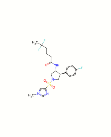 Cn1cnc(S(=O)(=O)N2C[C@H](NC(=O)CCCC(C)(F)F)[C@@H](c3ccc(F)cc3)C2)c1